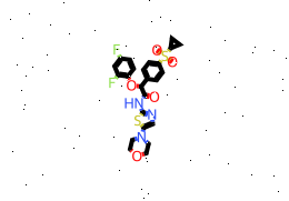 O=C(Nc1ncc(N2CCOCC2)s1)C(Oc1ccc(F)cc1F)c1ccc(S(=O)(=O)C2CC2)cc1